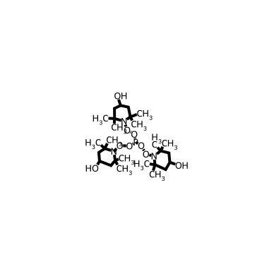 CC1(C)CC(O)CC(C)(C)N1OOP(OON1C(C)(C)CC(O)CC1(C)C)OON1C(C)(C)CC(O)CC1(C)C